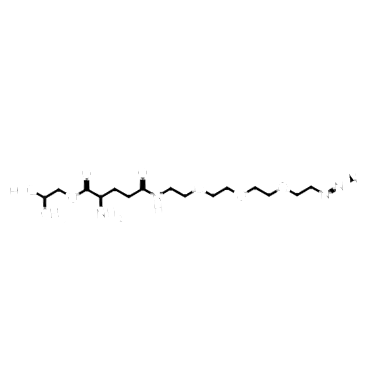 CC(C)COC(=O)C(N)CCC(=O)NCCOCCOCCOCCN=[N+]=[N-]